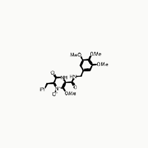 COc1cc(CNC(=O)c2[nH]c(=O)c(CC(C)C)[n+]([O-])c2OC)cc(OC)c1OC